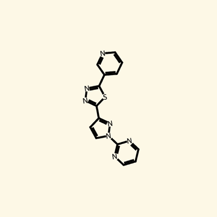 c1cnc(-n2ccc(-c3nnc(-c4cccnc4)s3)n2)nc1